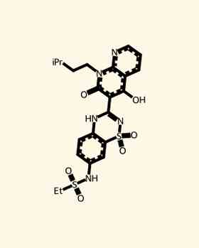 CCS(=O)(=O)Nc1ccc2c(c1)S(=O)(=O)N=C(c1c(O)c3cccnc3n(CCC(C)C)c1=O)N2